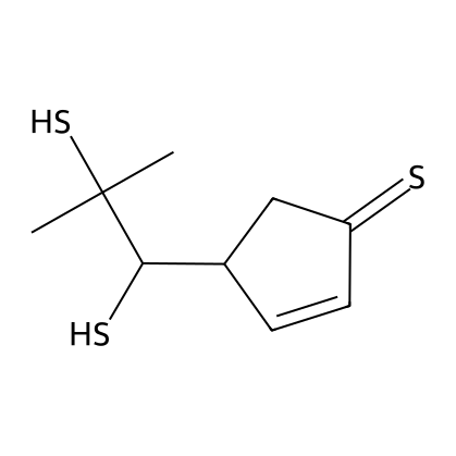 CC(C)(S)C(S)C1C=CC(=S)C1